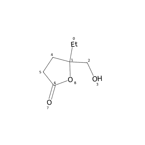 CCC1(CO)CCC(=O)O1